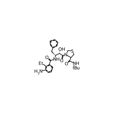 CCc1c(N)cccc1C(=O)N[C@@H](Cc1ccccc1)[C@H](O)C(=O)N1CSCC1C(=O)NC(C)(C)C